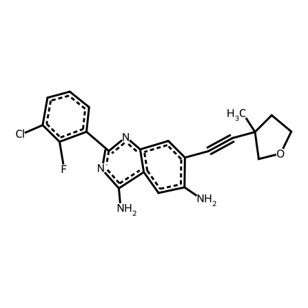 CC1(C#Cc2cc3nc(-c4cccc(Cl)c4F)nc(N)c3cc2N)CCOC1